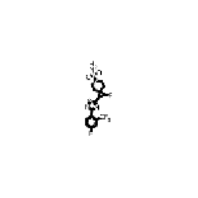 NS(=O)(=O)N1CCC2(CC1)C(F)C2c1nc(-c2ccc(F)cc2C(F)(F)F)no1